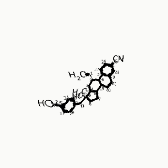 C=C[C@H]1C[C@@]2(C)C(CC[C@@]2(O)Cc2ccc(O)cc2)C2CCc3cc(C#N)ccc3C21